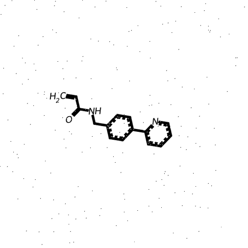 C=CC(=O)NCc1ccc(-c2ccccn2)cc1